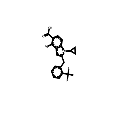 [2H]c1c(C(=O)O)ccc2c1cc(Cc1ccccc1C(F)(F)F)n2C1CC1